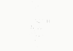 Cc1ccc(S(=O)(=O)N2CCC(c3ccccc3)[C@H]2C(=O)O)cc1